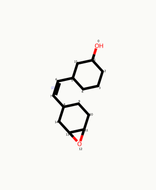 OC1CCCC(/C=C\C2CCC3OC3C2)C1